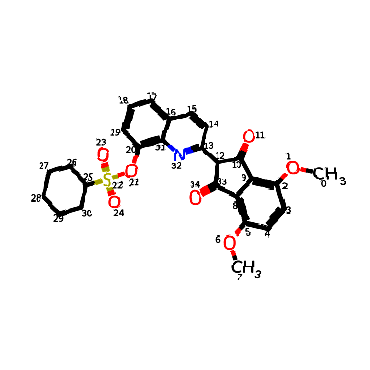 COc1ccc(OC)c2c1C(=O)C(c1ccc3cccc(OS(=O)(=O)C4CCCCC4)c3n1)C2=O